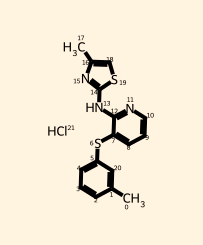 Cc1cccc(Sc2cccnc2Nc2nc(C)cs2)c1.Cl